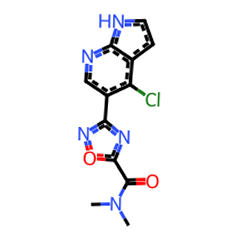 CN(C)C(=O)c1nc(-c2cnc3[nH]ccc3c2Cl)no1